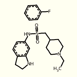 CCN1CCC(CS(=O)(=O)Nc2ccc3c(c2)NCC3)CC1.Fc1ccccc1